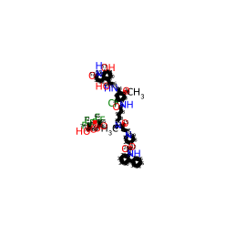 COc1cc(NC(=O)CCCCN(C)C(=O)CCN2CCC(OC(=O)Nc3ccccc3-c3ccccc3)CC2)c(Cl)cc1CNC[C@H](O)c1ccc(O)c2[nH]c(=O)ccc12.O=C(O)C(F)(F)F.O=C(O)C(F)(F)F